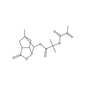 C=C(C)C(=O)OC(C)(C)C(=O)OC1C2OC(=O)C3CC1(C)CC32